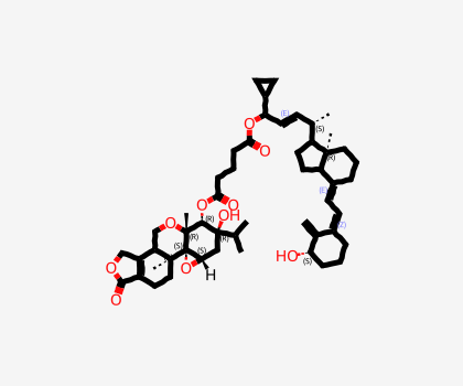 C=C1/C(=C\C=C2/CCC[C@@]3(C)C2CCC3[C@@H](C)/C=C/C(OC(=O)CCCC(=O)O[C@@H]2[C@](O)(C(C)C)C[C@@H]3O[C@@]34[C@@]3(C)CCC5=C(COC5=O)C3CO[C@]24C)C2CC2)CCC[C@@H]1O